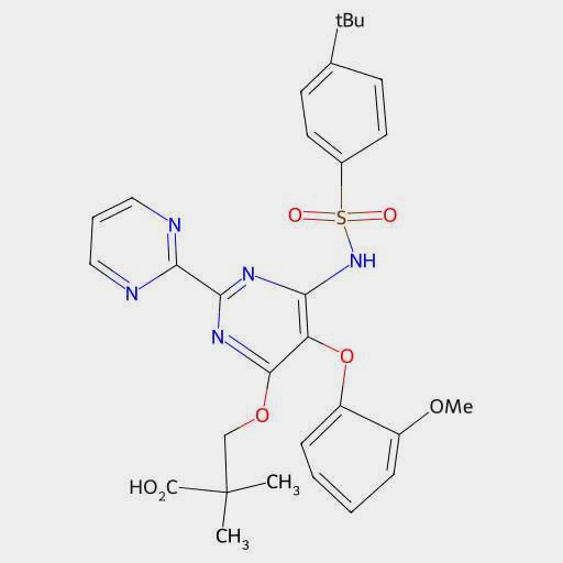 COc1ccccc1Oc1c(NS(=O)(=O)c2ccc(C(C)(C)C)cc2)nc(-c2ncccn2)nc1OCC(C)(C)C(=O)O